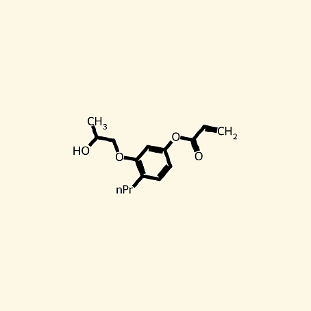 C=CC(=O)Oc1ccc(CCC)c(OCC(C)O)c1